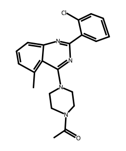 CC(=O)N1CCN(c2nc(-c3ccccc3Cl)nc3cccc(C)c23)CC1